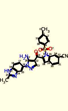 Cc1ccc(S(=O)(=O)n2c(C(=O)c3cnn(-c4ccc5[nH]c(C)nc5c4)c3N)cc3ccc(C#N)cc32)cc1